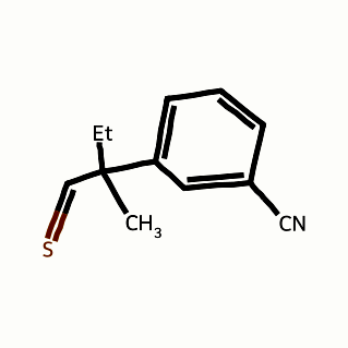 CCC(C)(C=S)c1cccc(C#N)c1